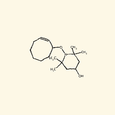 CC1(C)CC(O)CC(C)(C)N1OC1C=CCCCCC1